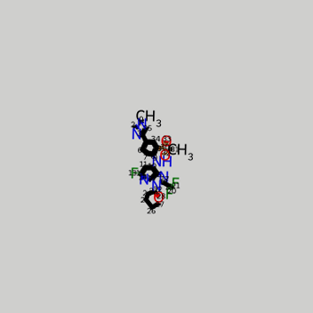 Cn1cnc(-c2ccc(Nc3cc(F)nc4c3nc(C(F)F)n4C3CCCCO3)c(S(C)(=O)=O)c2)c1